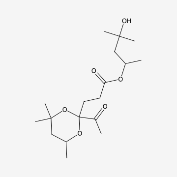 CC(=O)C1(CCC(=O)OC(C)CC(C)(C)O)OC(C)CC(C)(C)O1